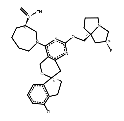 C=[N+](C#N)[C@@H]1CCCCN(c2nc(OC[C@@]34CCCN3C[C@H](F)C4)nc3c2CO[C@@]2(CCc4c(Cl)cccc42)C3)C1